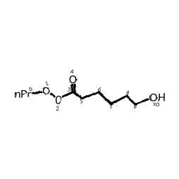 CCCOOC(=O)CCCCCO